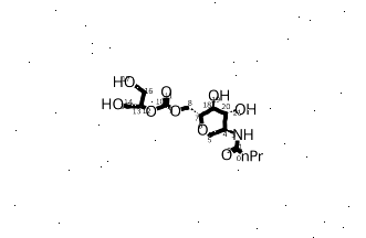 CCCC(=O)N[C@H]1CO[C@H](COC(=O)OC(CO)CO)[C@@H](O)[C@@H]1O